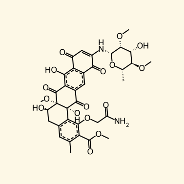 COC(=O)c1c(C)cc2c(c1OCC(N)=O)[C@]1(O)C(=O)c3cc4c(c(O)c3C(=O)[C@]1(OC)[C@H](O)C2)C(=O)C=C(N[C@H]1O[C@@H](C)[C@H](OC)[C@@H](O)[C@H]1OC)C4=O